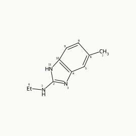 CCNc1nc2cc(C)ccc2[nH]1